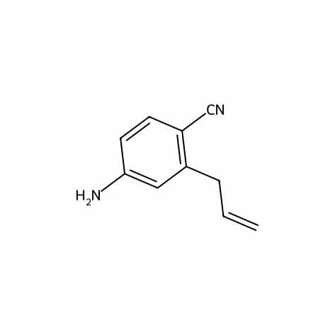 C=CCc1cc(N)ccc1C#N